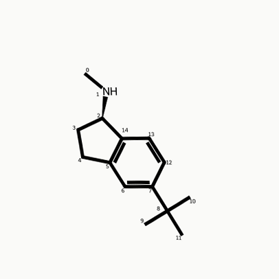 CN[C@@H]1CCc2cc(C(C)(C)C)ccc21